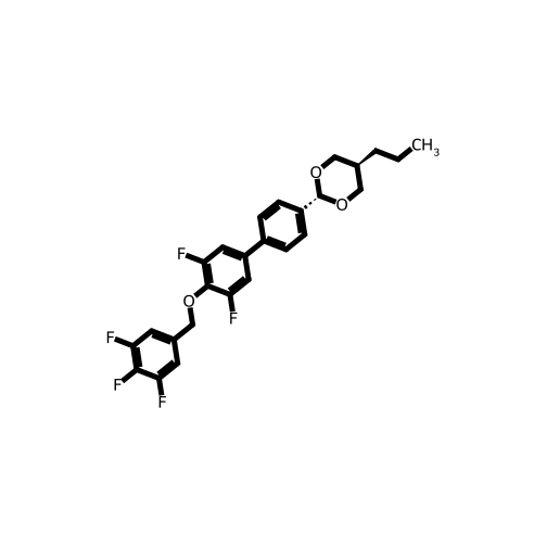 CCC[C@H]1CO[C@H](c2ccc(-c3cc(F)c(OCc4cc(F)c(F)c(F)c4)c(F)c3)cc2)OC1